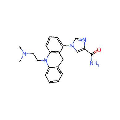 CN(C)CCN1c2ccccc2Cc2c1cccc2-n1cnc(C(N)=O)c1